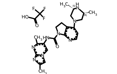 Cc1cn2cc(NC(=O)N3CCc4c(N5C[C@@H](C)N[C@@H](C)C5)ccnc43)c(C)nc2n1.O=C(O)C(F)(F)F